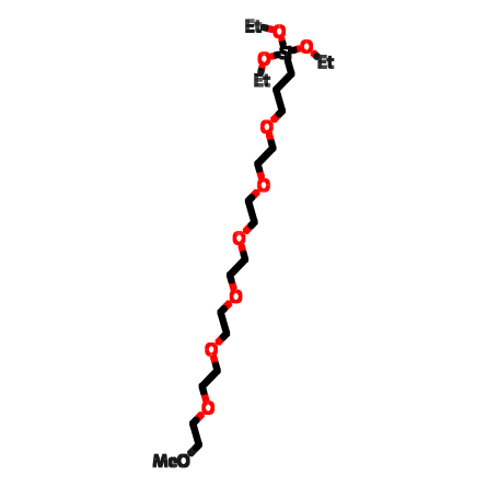 CCO[Si](CCCOCCOCCOCCOCCOCCOCCOC)(OCC)OCC